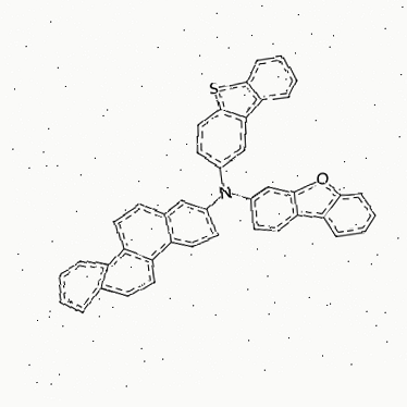 c1ccc2c(c1)ccc1c3ccc(N(c4ccc5c(c4)oc4ccccc45)c4ccc5sc6ccccc6c5c4)cc3ccc21